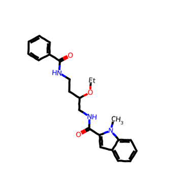 CCOC(CCNC(=O)c1ccccc1)CNC(=O)c1cc2ccccc2n1C